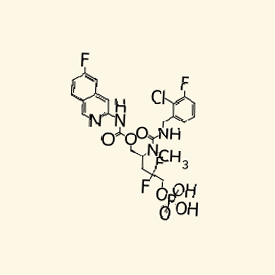 CN(C(=O)NCc1cccc(F)c1Cl)[C@H](COC(=O)Nc1cc2cc(F)ccc2cn1)CC(F)(F)COP(=O)(O)O